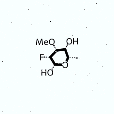 CO[C@@H]1[C@H](O)[C@H](C)O[C@H](O)[C@@H]1F